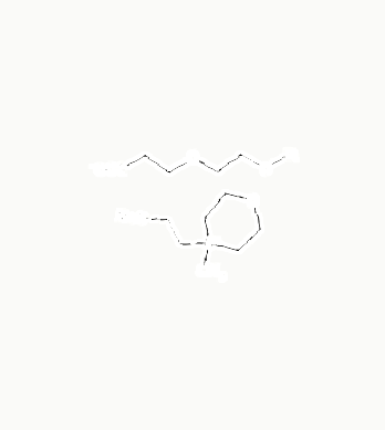 CCOCCOCCC(=O)[O-].COCC[N+]1(C)CCOCC1